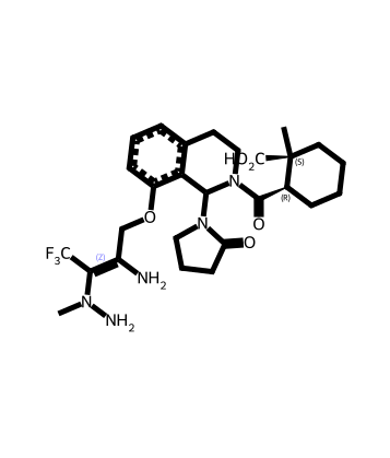 CN(N)/C(=C(\N)COc1cccc2c1C(N1CCCC1=O)N(C(=O)[C@@H]1CCCC[C@]1(C)C(=O)O)CC2)C(F)(F)F